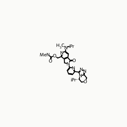 CNC(=O)OCc1nc(N(C)C(C)C)cc2c1CN(c1cccc(-c3nnc4n3[C@@H](C(C)C)COC4)n1)C2=O